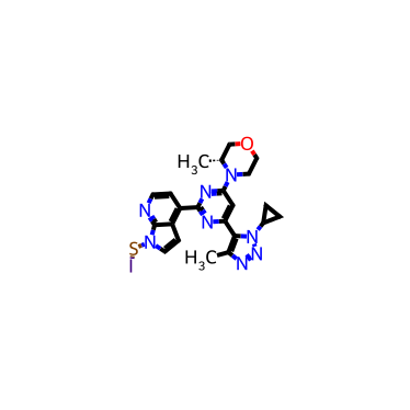 Cc1nnn(C2CC2)c1-c1cc(N2CCOC[C@H]2C)nc(-c2ccnc3c2ccn3SI)n1